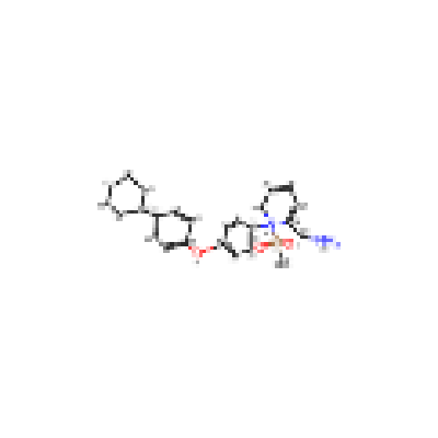 CCS(=O)(=O)[N+]1(c2ccc(Oc3ccc(C4CCCCC4)cc3)cc2)CC=CC=C1CN